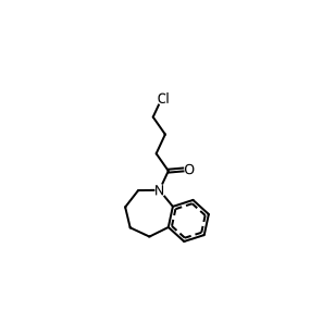 O=C(CCCCl)N1CCCCc2ccccc21